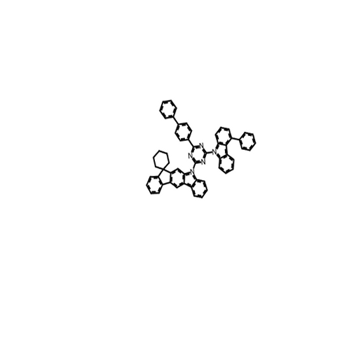 c1ccc(-c2ccc(-c3nc(-n4c5ccccc5c5cc6c(cc54)C4(CCCCC4)c4ccccc4-6)nc(-n4c5ccccc5c5c(-c6ccccc6)cccc54)n3)cc2)cc1